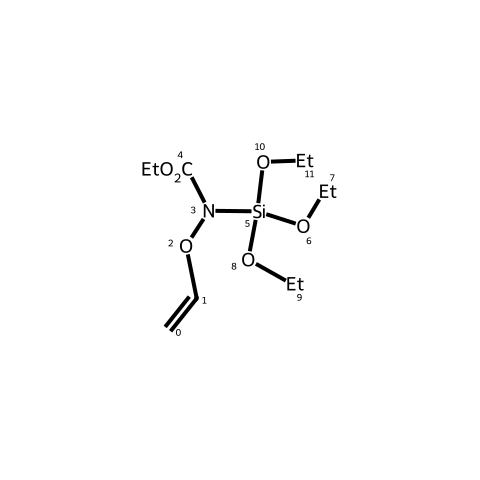 C=CON(C(=O)OCC)[Si](OCC)(OCC)OCC